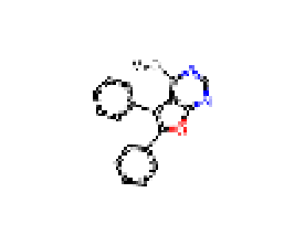 COc1ncnc2oc(-c3ccccc3)c(-c3ccccc3)c12